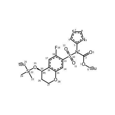 CC(C)(C)OC(=O)N(c1cscn1)S(=O)(=O)c1cc2c(cc1F)[C@H](O[Si](C)(C)C(C)(C)C)CCO2